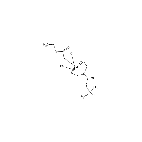 CCOC(=O)CC1(O)CC2COCC(CN(C(=O)OC(C)(C)C)C2)C1O